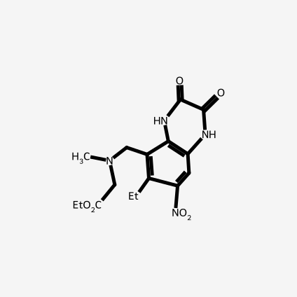 CCOC(=O)CN(C)Cc1c(CC)c([N+](=O)[O-])cc2[nH]c(=O)c(=O)[nH]c12